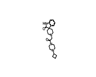 O=C(CN1CCC2(CC1)C(=O)Nc1ccccc12)N1CCN(C2CCC2)CC1